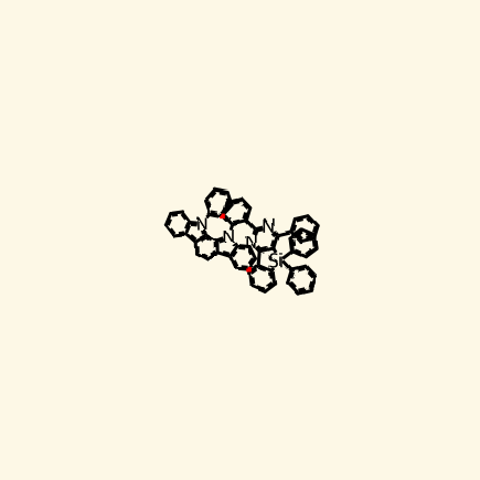 c1ccc(-c2nc(-c3ccccc3-n3c4ccccc4c4ccc5c6ccccc6n(-c6ccccc6)c5c43)nc3c2[Si](c2ccccc2)(c2ccccc2)c2ccccc2-3)cc1